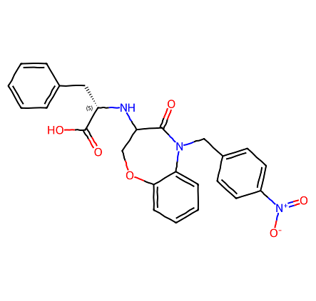 O=C(O)[C@H](Cc1ccccc1)NC1COc2ccccc2N(Cc2ccc([N+](=O)[O-])cc2)C1=O